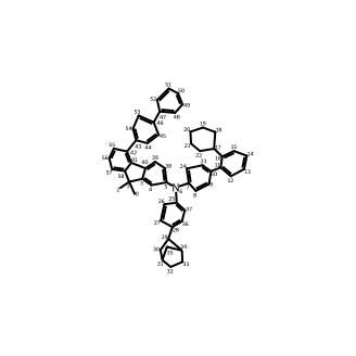 CC1(C)c2cc(N(c3ccc(-c4ccccc4C4CCCCC4)cc3)c3ccc(C4CC5CCC4C5)cc3)ccc2-c2c(-c3ccc(-c4ccccc4)cc3)cccc21